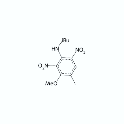 CCC(C)Nc1c([N+](=O)[O-])cc(C)c(OC)c1[N+](=O)[O-]